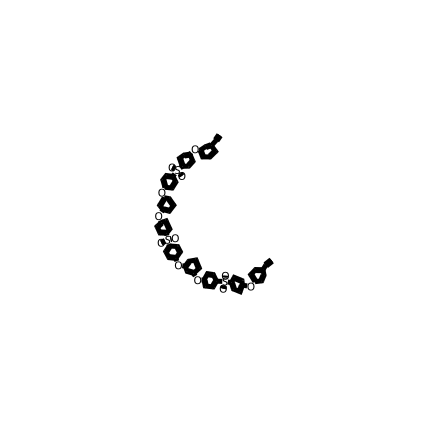 C#Cc1ccc(Oc2ccc(S(=O)(=O)c3ccc(Oc4cccc(Oc5ccc(S(=O)(=O)c6ccc(Oc7cccc(Oc8ccc(S(=O)(=O)c9ccc(Oc%10cccc(C#C)c%10)cc9)cc8)c7)cc6)cc5)c4)cc3)cc2)cc1